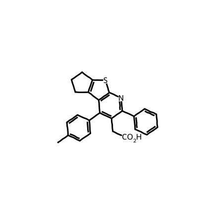 Cc1ccc(-c2c(CC(=O)O)c(-c3ccccc3)nc3sc4c(c23)CCC4)cc1